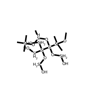 CO[Si](C)(C)[Si](O[SiH2]O)(O[SiH](C)O[Si](C)(C)C)[Si](O[SiH2]O)([SiH2]O)[SiH2]O